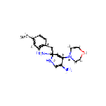 COc1ccc(CC2(N)C=C(N3CCOCC3)C(N)=CN2)cc1